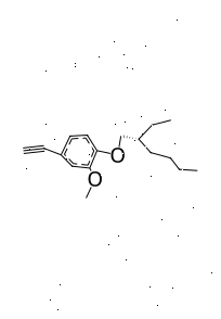 C#Cc1ccc(OC[C@H](CC)CCCC)c(OC)c1